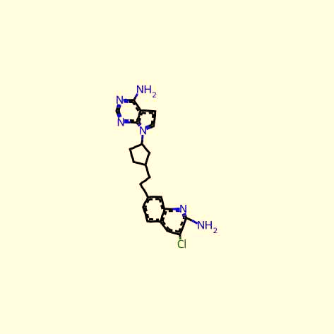 Nc1nc2cc(CCC3CCC(n4ccc5c(N)ncnc54)C3)ccc2cc1Cl